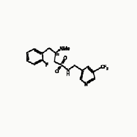 CN[C@H](Cc1ccccc1F)CS(=O)(=O)NCc1cncc(C(F)(F)F)c1